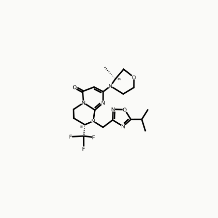 CC(C)c1nc(CN2c3nc(N4CCOC[C@H]4C)cc(=O)n3CC[C@H]2C(F)(F)F)no1